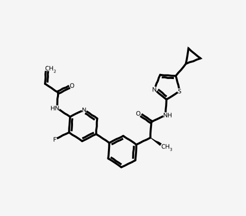 C=CC(=O)Nc1ncc(-c2cccc([C@H](C)C(=O)Nc3ncc(C4CC4)s3)c2)cc1F